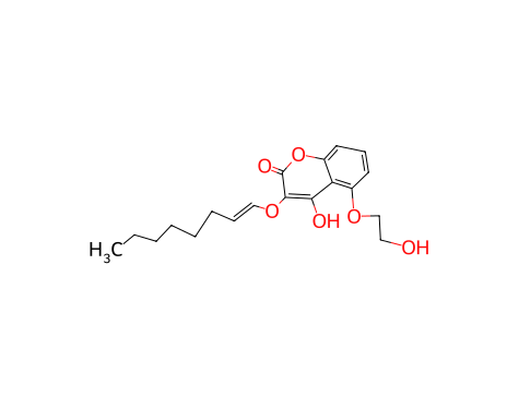 CCCCCCC=COc1c(O)c2c(OCCO)cccc2oc1=O